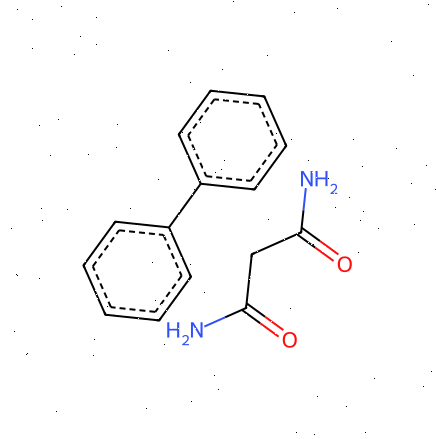 NC(=O)CC(N)=O.c1ccc(-c2ccccc2)cc1